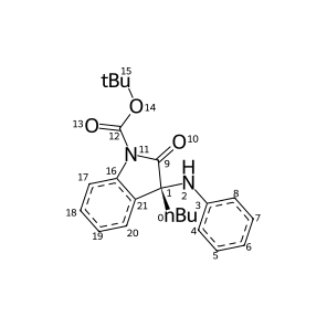 CCCC[C@]1(Nc2ccccc2)C(=O)N(C(=O)OC(C)(C)C)c2ccccc21